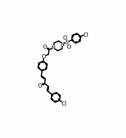 O=C(C=Cc1ccc(Cl)cc1)C=Cc1ccc(OCC(=O)N2CCN(S(=O)(=O)c3ccc(Cl)cc3)CC2)cc1